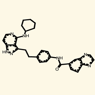 O=C(Nc1ccc(CCc2n[nH]c3ccnc(NC4CCCCC4)c23)cc1)c1ccc2nccnc2c1